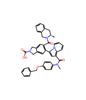 C[C@@H]1Cc2ccccc2CN1C(=O)c1cc2c(cc1-c1cc(C(=O)N(C)c3ccc(OCc4ccccc4)cc3)c3ccccn13)CN(C(=O)O)C2